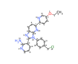 CCOc1ccc(-c2ccc3nc(-c4cccnc4N)n(-c4ccc(CCl)cc4)c3n2)nc1